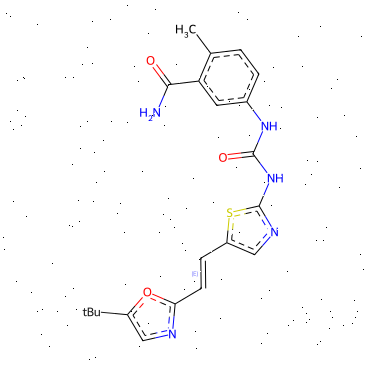 Cc1ccc(NC(=O)Nc2ncc(/C=C/c3ncc(C(C)(C)C)o3)s2)cc1C(N)=O